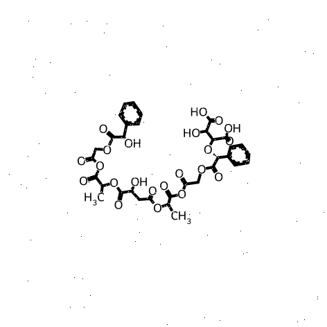 CC(OC(=O)CC(O)C(=O)OC(C)C(=O)OC(=O)COC(=O)[C@H](O)c1ccccc1)C(=O)OC(=O)COC(=O)[C@H](OC(C(=O)O)C(O)C(=O)O)c1ccccc1